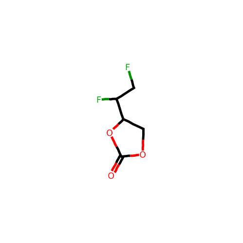 O=C1OCC(C(F)CF)O1